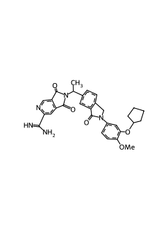 COc1ccc(N2Cc3ccc(C(C)N4C(=O)c5cnc(C(=N)N)cc5C4=O)cc3C2=O)cc1OC1CCCC1